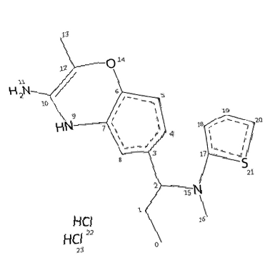 CCC(c1ccc2c(c1)NC(N)=C(C)O2)N(C)c1cccs1.Cl.Cl